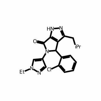 CCn1cc(N2C(=O)c3[nH]nc(CC(C)C)c3C2c2ccccc2Cl)cn1